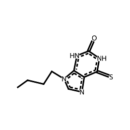 CCCCn1cnc2c(=S)[nH]c(=O)[nH]c21